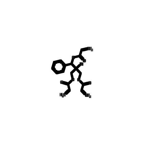 C=CC(=O)OCC(CC)(COC(=O)C=C)C(OC(=O)C=C)c1ccccc1